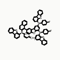 C=C/C=C\C(=C)N(c1ccc2ccccc2c1-c1c#cc2oc3c(N(c4ccc(F)cc4)c4cccc5c4sc4ccccc45)cc(N(c4ccc(F)cc4)c4cccc5c4sc4ccccc45)cc3c2c1)c1cccc2c1sc1ccccc12